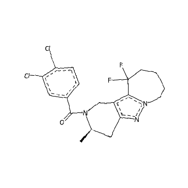 C[C@@H]1Cc2nn3c(c2CN1C(=O)c1ccc(Cl)c(Cl)c1)C(F)(F)CCCC3